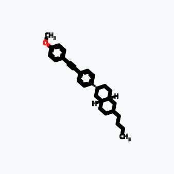 CCCCC1CC[C@@H]2C[C@H](c3ccc(C#Cc4ccc(OC)cc4)cc3)CC[C@@H]2C1